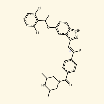 CC1CN(C(=O)c2ccc(/C(F)=C/c3n[nH]c4ccc(OC(C)c5c(Cl)cncc5Cl)cc34)cc2)CC(C)N1